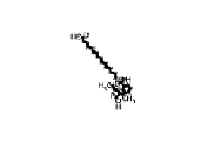 CCCCC(CC)C(=O)O.O=C(O)CCCCCCCCCCCCCCCO.O=C(O)c1ccccc1